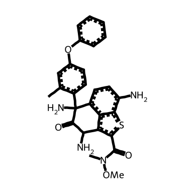 CON(C)C(=O)c1sc2c(N)ccc3c2c1C(N)C(=O)C3(N)c1ccc(Oc2ccccc2)cc1C